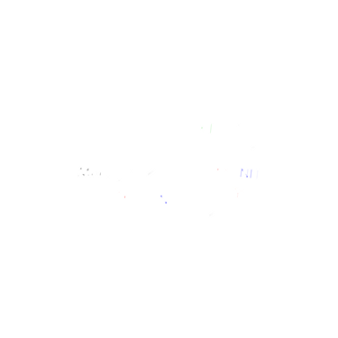 COC(=O)c1ccccc1CN1CCc2ccc(S(=O)(=O)Nc3cccc(Cl)c3)cc2C1